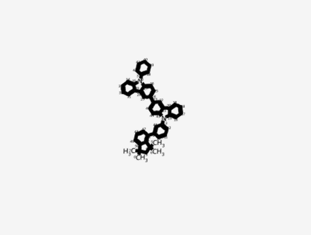 CC1(C)CC(C)(C)c2c(-c3cccc(-n4c5ccccc5c5cc(-c6ccc7c(c6)c6ccccc6n7C6=CCCC=C6)ccc54)c3)cccc21